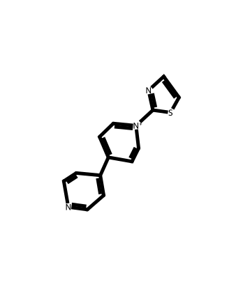 c1cc(-c2cc[n+](-c3nccs3)cc2)ccn1